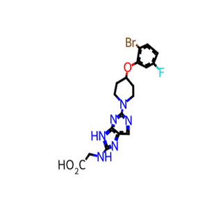 O=C(O)CNc1nc2cnc(N3CCC(Oc4cc(F)ccc4Br)CC3)nc2[nH]1